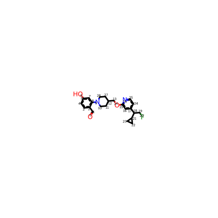 O=Cc1ccc(O)cc1N1CCC(COc2cc(C(CF)C3CC3)ccn2)CC1